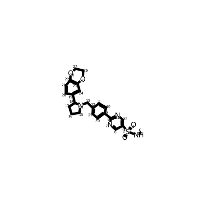 CNS(=O)(=O)c1cnc(-c2ccc(CN3CCCC3c3ccc4c(c3)OCCO4)cc2)nc1